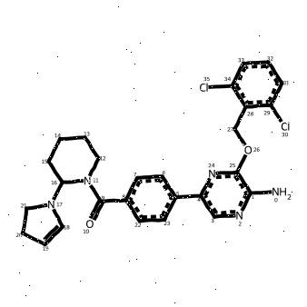 Nc1ncc(-c2ccc(C(=O)N3CCCCC3N3C=CCC3)cc2)nc1OCc1c(Cl)cccc1Cl